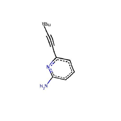 CC(C)(C)C#Cc1cccc(N)n1